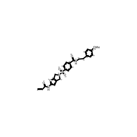 C=CC(=O)Nc1cc2c(o1)CN(S(=O)(=O)c1ccc(C(=O)NCCc3ccc(OC)cc3)cc1)C2